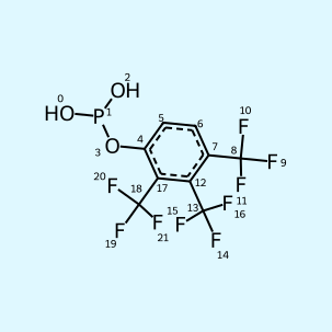 OP(O)Oc1ccc(C(F)(F)F)c(C(F)(F)F)c1C(F)(F)F